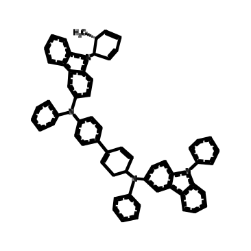 C[C@@H]1C=CC=CC1n1c2ccccc2c2cc(N(c3ccccc3)c3ccc(C4=CCC(N(c5ccccc5)c5ccc6c(c5)c5ccccc5n6-c5ccccc5)C=C4)cc3)ccc21